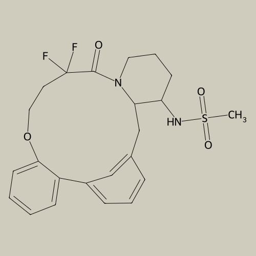 CS(=O)(=O)NC1CCCN2C(=O)C(F)(F)CCOc3ccccc3-c3cccc(c3)CC12